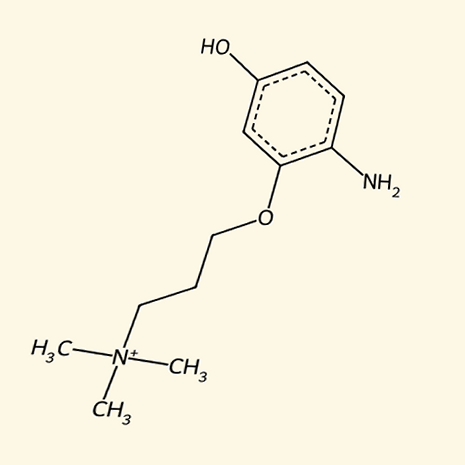 C[N+](C)(C)CCCOc1cc(O)ccc1N